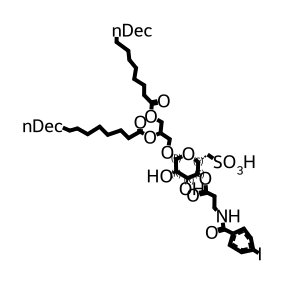 CCCCCCCCCCCCCCCCCC(=O)OCC(CO[C@@H]1O[C@H](CS(=O)(=O)O)[C@@H](OC(=O)CCNC(=O)c2ccc(I)cc2)[C@H](O)[C@H]1O)OC(=O)CCCCCCCCCCCCCCCCC